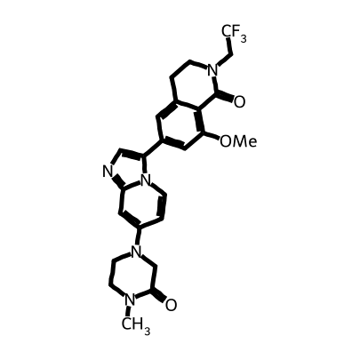 COc1cc(-c2cnc3cc(N4CCN(C)C(=O)C4)ccn23)cc2c1C(=O)N(CC(F)(F)F)CC2